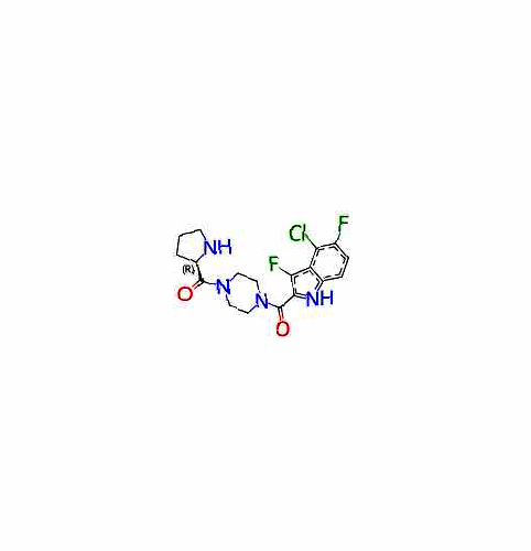 O=C(c1[nH]c2ccc(F)c(Cl)c2c1F)N1CCN(C(=O)[C@H]2CCCN2)CC1